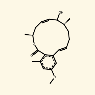 COc1cc(C)c2c(c1)/C=C/CC[C@H](C)C(O)/C=C\C[C@H](C)OC2=O